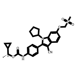 C[C@@H](OC(=O)Nc1ccc(-c2c(C#N)c3ccc(OCS(C)(=O)=O)cc3n2C2CCCC2)cc1)C1CC1